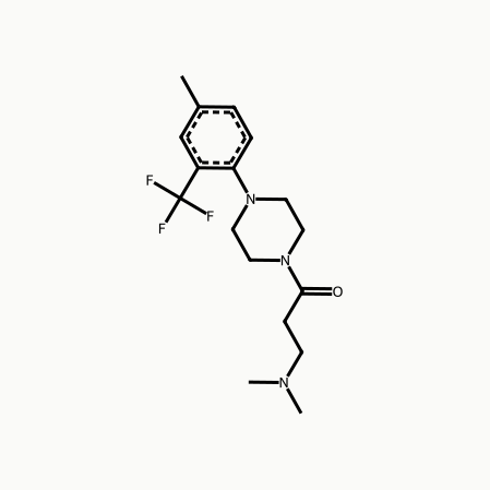 Cc1ccc(N2CCN(C(=O)CCN(C)C)CC2)c(C(F)(F)F)c1